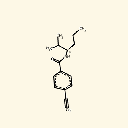 C#Cc1ccc(C(=O)N[C@H](CCC)C(C)C)cc1